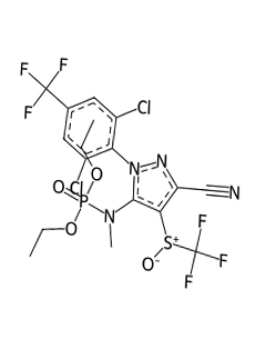 CCOP(=O)(OCC)N(C)c1c([S+]([O-])C(F)(F)F)c(C#N)nn1-c1c(Cl)cc(C(F)(F)F)cc1Cl